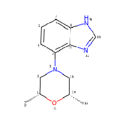 C[C@@H]1CN(c2cccc3[nH]cnc23)C[C@H](C)O1